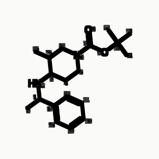 CC(NC1CCN(C(=O)OC(C)(C)C)CC1C)c1ccccc1